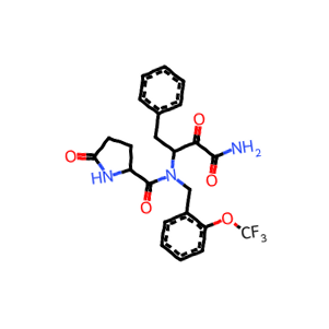 NC(=O)C(=O)C(Cc1ccccc1)N(Cc1ccccc1OC(F)(F)F)C(=O)C1CCC(=O)N1